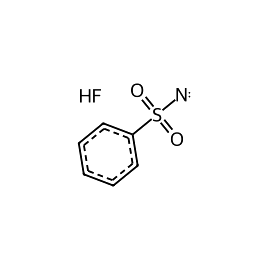 F.[N]S(=O)(=O)c1ccccc1